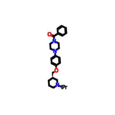 CC(C)N1CCC[C@H](COc2ccc(N3CCN(C(=O)c4ccccc4)CC3)cc2)C1